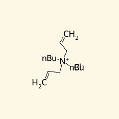 C=CC[N+](CC=C)(CCCC)CCCC.[Cl-]